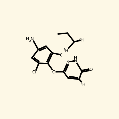 [2H]C([2H])CC.[2H]c1cc(Oc2c(Cl)cc(N)cc2Cl)n[nH]c1=O